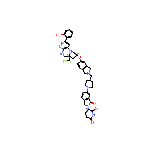 O=C1CC[C@H](N2Cc3ccc(N4CCC(CN5Cc6ccc(O[C@H]7CN8c9cc(-c%10ccccc%10O)nnc9NC[C@@]8(C(F)F)C7)cc6C5)CC4)cc3C2=O)C(=O)N1